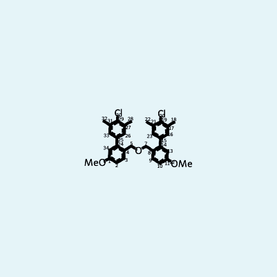 COc1ccc(COCc2ccc(OC)cc2-c2cc(C)c(Cl)c(C)c2)c(-c2cc(C)c(Cl)c(C)c2)c1